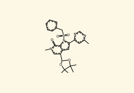 Cc1cc(-c2cc3c(B4OC(C)(C)C(C)(C)O4)cn(C)c(=O)c3n2S(=O)(=O)Cc2ccccc2)ncn1